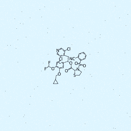 N#Cc1ccccc1S(=O)(=O)N1CCSC1C(=O)OC(Cc1c(Cl)cncc1Cl)c1ccc(OC(F)F)c(OCC2CC2)c1